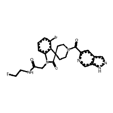 O=C(CN1C(=O)C2(CCN(C(=O)c3cc4cn[nH]c4cn3)CC2)c2c(Br)cccc21)NCCF